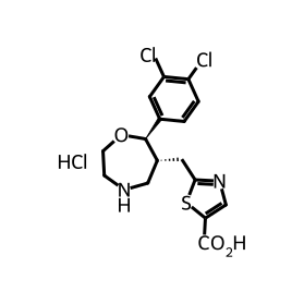 Cl.O=C(O)c1cnc(C[C@@H]2CNCCO[C@H]2c2ccc(Cl)c(Cl)c2)s1